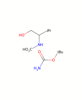 CC(C)(C)OC(N)=O.CC(C)C(CO)NC(=O)O